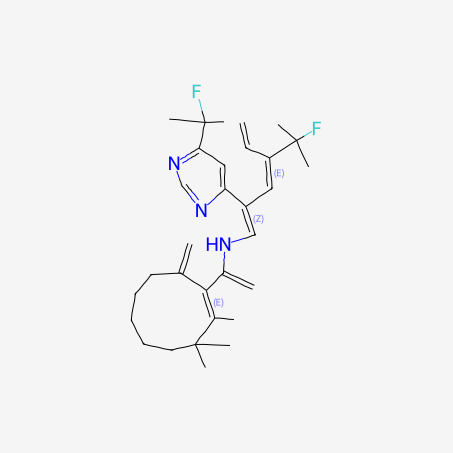 C=C/C(=C\C(=C\NC(=C)/C1=C(\C)C(C)(C)CCCCCC1=C)c1cc(C(C)(C)F)ncn1)C(C)(C)F